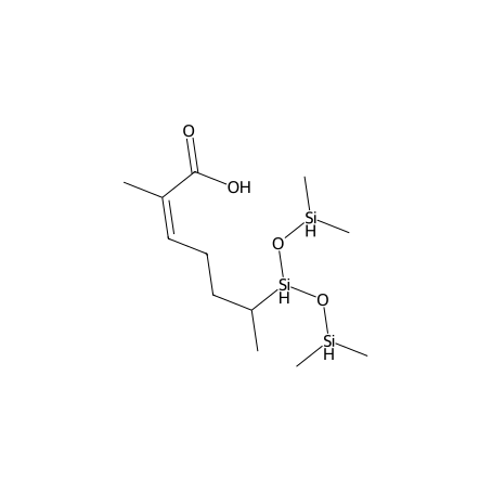 CC(=CCCC(C)[SiH](O[SiH](C)C)O[SiH](C)C)C(=O)O